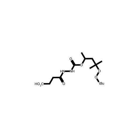 CC(CC(C)(C)OOC(C)(C)C)OC(=O)NNC(=O)CCC(=O)O